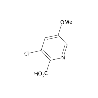 COc1cnc(C(=O)O)c(Cl)c1